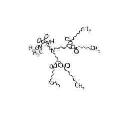 CCCCCCCC(=O)OCC(CCCCN(CCCCC(COC(=O)CCCCCCC)COC(=O)CCCCCCC)CCCNc1c(N(C)CC)c(=O)c1=O)COC(=O)CCCCCCC